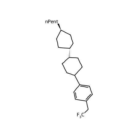 CCCCC[C@H]1CC[C@H](C2CCC(c3ccc(CC(F)(F)F)cc3)CC2)CC1